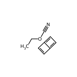 CCOC#N.c1cc2ccc1-2